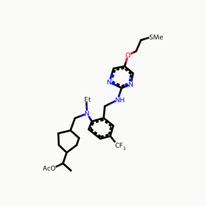 CCN(CC1CCC(C(C)OC(C)=O)CC1)c1ccc(C(F)(F)F)cc1CNc1ncc(OCCSC)cn1